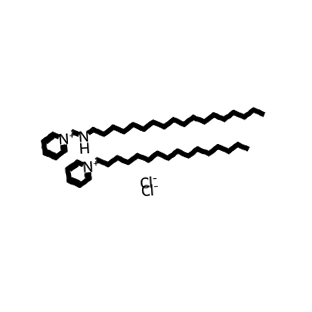 CCCCCCCCCCCCCCCCCCNC[n+]1ccccc1.CCCCCCCCCCCCCCCC[n+]1ccccc1.[Cl-].[Cl-]